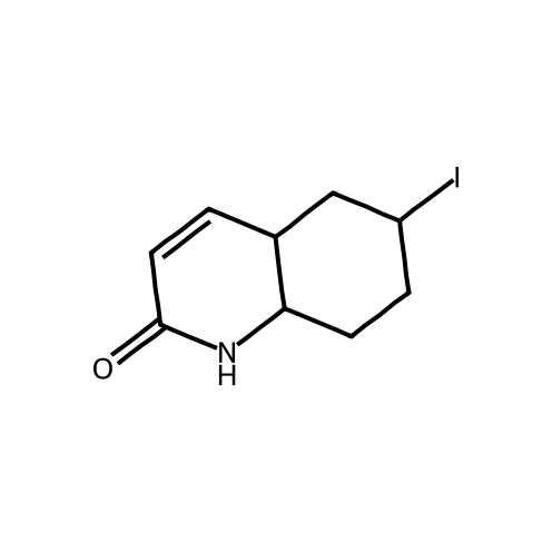 O=C1C=CC2CC(I)CCC2N1